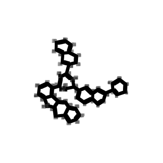 c1ccc(-c2ccc3ccc(C4N=C(c5ccc6ccccc6c5)N=C(c5cccc6oc7cc8ccccc8cc7c56)N4)cc3c2)cc1